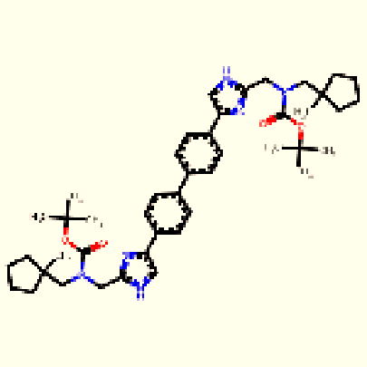 CC1(CN(Cc2nc(-c3ccc(-c4ccc(-c5c[nH]c(CN(CC6(C)CCCC6)C(=O)OC(C)(C)C)n5)cc4)cc3)c[nH]2)C(=O)OC(C)(C)C)CCCC1